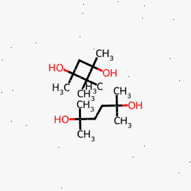 CC(C)(O)CCC(C)(C)O.CC1(O)CC(C)(O)C1(C)C